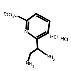 CCOC(=O)c1cccc(C(N)CN)n1.Cl.Cl